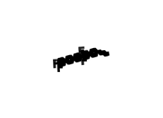 CCCCC[C@H]1CC[C@H](c2cc(F)c(C3=CCC([C@H]4CC[C@H](c5ccc(F)c(F)c5)CC4)CC3)c(F)c2)CC1